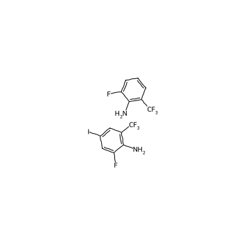 Nc1c(F)cc(I)cc1C(F)(F)F.Nc1c(F)cccc1C(F)(F)F